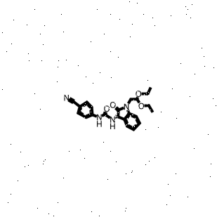 CCOC(CN1C(=O)[C@@H](NC(=O)Nc2ccc(C#N)cc2)c2ccccc21)OCC